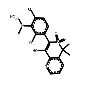 CN(C(=O)O)c1c(Cl)ccc(C2=C(O)c3ncccc3C(C)(C)S2(=O)=O)c1Cl